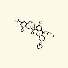 CCN(c1cc(Cl)cc(C(=O)NCc2c(C)cc(C)[nH]c2=O)c1C)C1CCC(N2CCCC2)CC1